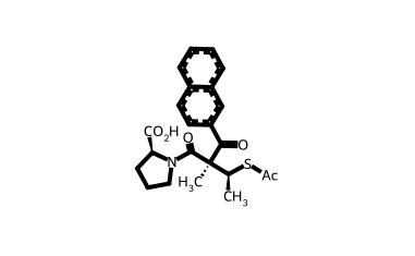 CC(=O)S[C@@H](C)[C@](C)(C(=O)c1ccc2ccccc2c1)C(=O)N1CCC[C@H]1C(=O)O